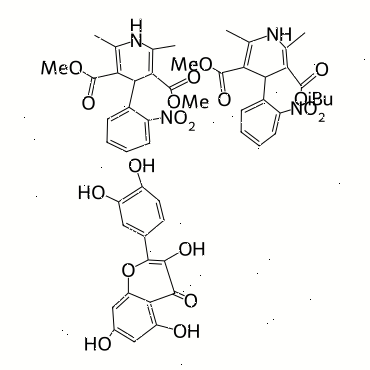 COC(=O)C1=C(C)NC(C)=C(C(=O)OC)C1c1ccccc1[N+](=O)[O-].COC(=O)C1=C(C)NC(C)=C(C(=O)OCC(C)C)C1c1ccccc1[N+](=O)[O-].O=c1c(O)c(-c2ccc(O)c(O)c2)oc2cc(O)cc(O)c12